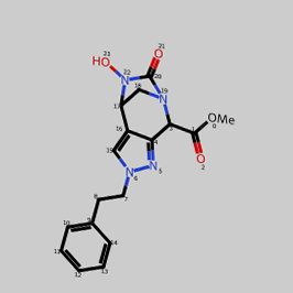 COC(=O)C1c2nn(CCc3ccccc3)cc2C2CN1C(=O)N2O